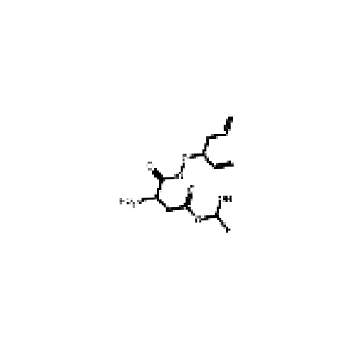 C=CCC(C=C)OOC(=O)C(CC(=O)OC(O)CC)S(=O)(=O)O